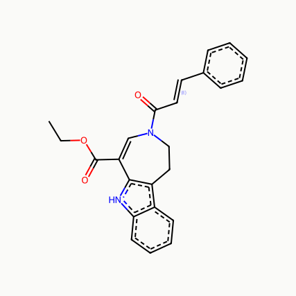 CCOC(=O)C1=CN(C(=O)/C=C/c2ccccc2)CCc2c1[nH]c1ccccc21